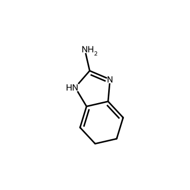 Nc1nc2c([nH]1)=CCCC=2